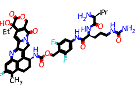 CC[C@@]1(O)C(=O)OCc2c1cc1n(c2=O)Cc2c-1nc1cc(F)c(C)c3c1c2[C@@H](NC(=O)OCc1c(F)cc(NC(=O)[C@H](CCCNC(N)=O)NC(=O)[C@@H](N)C(C)C)cc1F)CC3